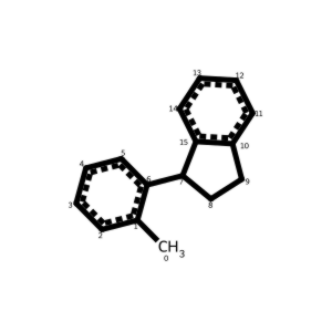 Cc1ccccc1[C]1CCc2ccccc21